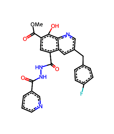 COC(=O)c1cc(C(=O)NNC(=O)c2cccnc2)c2cc(Cc3ccc(F)cc3)cnc2c1O